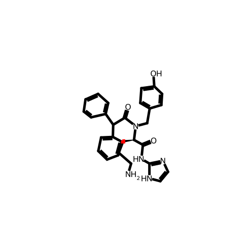 NCCC[C@H](C(=O)Nc1ncc[nH]1)N(Cc1ccc(O)cc1)C(=O)C(c1ccccc1)c1ccccc1